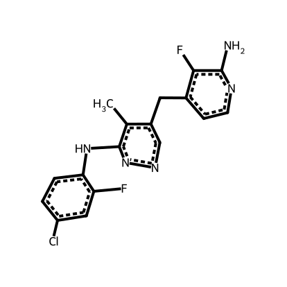 Cc1c(Cc2ccnc(N)c2F)cnnc1Nc1ccc(Cl)cc1F